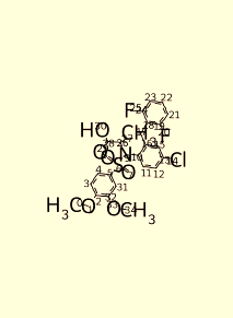 COc1ccc(S(=O)(=O)N(c2ccc(Cl)cc2Cc2c(F)cccc2F)[C@@H](C)C(=O)O)cc1OC